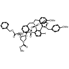 COc1ccc(CN(Cc2ccc(OC)cc2)S(=O)(=O)c2c(S(=O)(=O)N[C@H]3CN(C(=O)OC(C)(C)C)C[C@H]3NC(=O)OCc3ccccc3)ccc(I)c2-c2nnnn2Cc2ccc(OC)cc2)cc1